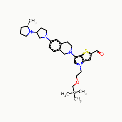 C[C@H]1CCCN1[C@H]1CCN(c2ccc3c(c2)CCN(c2cn(CCOC[Si](C)(C)C)c4cc(C=O)sc24)C3)C1